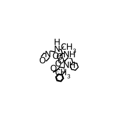 C[C@H](NC(=O)CN1CCOCC1)C(=O)N[C@@H](CC1CCCCC1)C(=O)N[C@@H](Cc1ccccc1)C(=O)[C@@]1(C)CO1